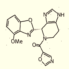 COc1cccc2oc([C@@H]3c4nc[nH]c4CCN3C(=O)c3cnco3)nc12